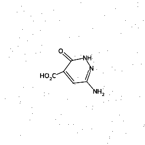 Nc1cc(C(=O)O)c(=O)[nH]n1